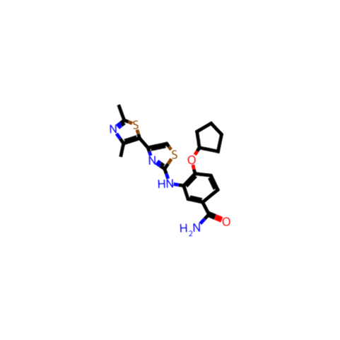 Cc1nc(C)c(-c2csc(Nc3cc(C(N)=O)ccc3OC3CCCC3)n2)s1